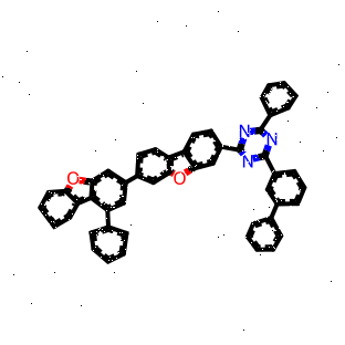 c1ccc(-c2cccc(-c3nc(-c4ccccc4)nc(-c4ccc5c(c4)oc4cc(-c6cc(-c7ccccc7)c7c(c6)oc6ccccc67)ccc45)n3)c2)cc1